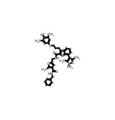 Cc1cc(OCCCc2c(C(=O)NCc3cc(C(=O)NCc4ccccc4)c(C)o3)[nH]c3c(-c4c(C)nn(C)c4C)cccc23)cc(C)c1Cl